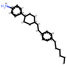 CCCCCCc1ccc(CCC2CCC(c3ccc(N)cc3)CC2)cc1